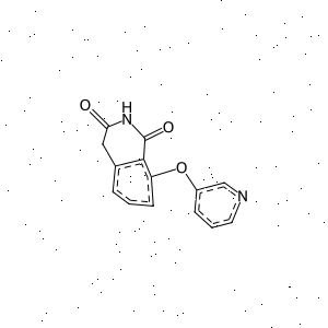 O=C1Cc2cccc(Oc3cccnc3)c2C(=O)N1